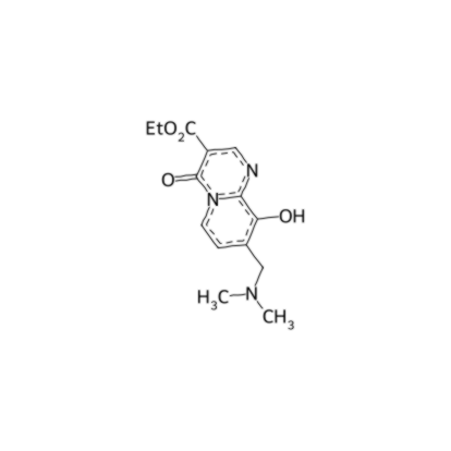 CCOC(=O)c1cnc2c(O)c(CN(C)C)ccn2c1=O